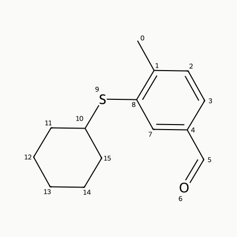 Cc1ccc(C=O)cc1SC1CCCCC1